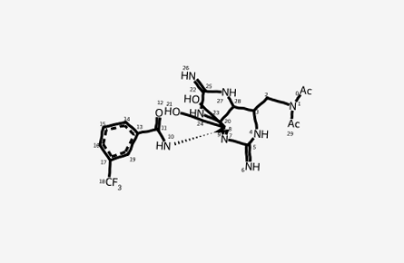 CC(=O)N(CC1NC(=N)N2C[C@H](NC(=O)c3cccc(C(F)(F)F)c3)C(O)(O)C23NC(=N)NC13)C(C)=O